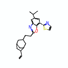 C=CC1CC2CC(CCc3nc4cc(C(C)C)cc(-c5nccs5)c4o3)CC1C2